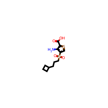 Nc1c(S(=O)(=O)CCCC2CCC2)csc1C(=O)O